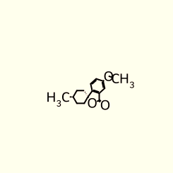 COc1ccc2c(c1)C(=O)O[C@]21CC[C@H](C)CC1